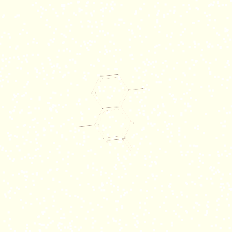 Cc1nc(=S)[nH]c2c(O)cccc12